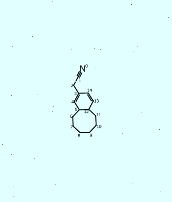 N#CCC1=CC2CCCCCCC2C=C1